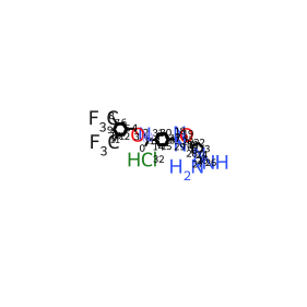 C/C(=N\OCc1cc(C(F)(F)F)cc(C(F)(F)F)c1)c1ccc(-c2noc([C@@H]3CCN(C(=N)N)C3)n2)cc1.Cl